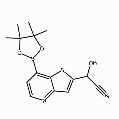 CC1(C)OB(c2ccnc3cc(C(O)C#N)sc23)OC1(C)C